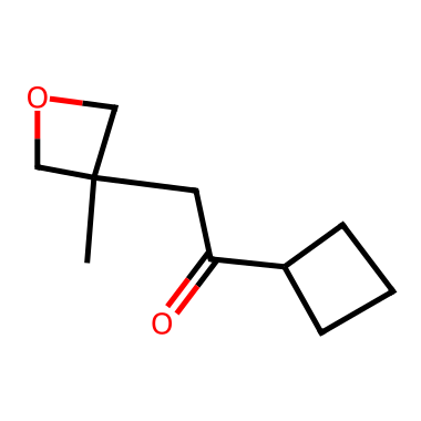 CC1(CC(=O)C2CCC2)COC1